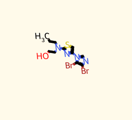 CCCN(CCO)c1nc(-n2cnc(Br)c2Br)cs1